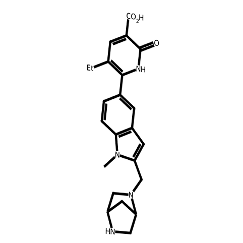 CCc1cc(C(=O)O)c(=O)[nH]c1-c1ccc2c(c1)cc(CN1CC3CC1CN3)n2C